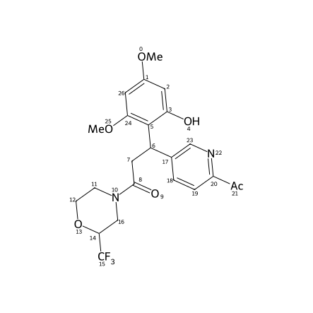 COc1cc(O)c(C(CC(=O)N2CCOC(C(F)(F)F)C2)c2ccc(C(C)=O)nc2)c(OC)c1